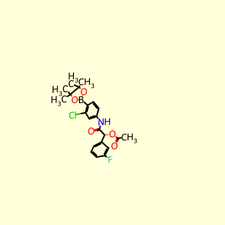 CC(=O)O[C@@H](C(=O)Nc1ccc(B2OC(C)(C)C(C)(C)O2)c(Cl)c1)c1cccc(F)c1